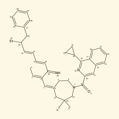 CC=C(/C=C1\CCN(C(=O)c2cc3ccccc3c(C3CC3)n2)CC(C)(I)C1)C(=N)/C=C/C=C/C(CC)Cc1ccccc1